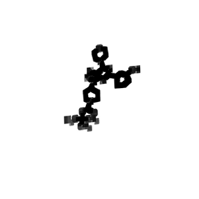 CC(C)(C)OC(=O)N1CCC(n2nnc3c(N4CCOCC4)nc(-c4cccc(O)c4)nc32)CC1